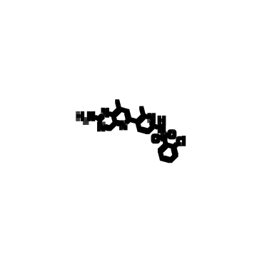 Cc1nc(NS(=O)(=O)c2ccccc2Cl)ccc1-c1cc(C)c2nc(N)ncc2n1